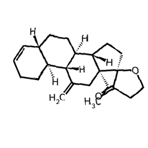 C=C1C[C@@]2(CC)[C@@H](CC[C@@]23OCCC3=O)[C@@H]2CC[C@H]3C=CCC[C@@H]3[C@@H]12